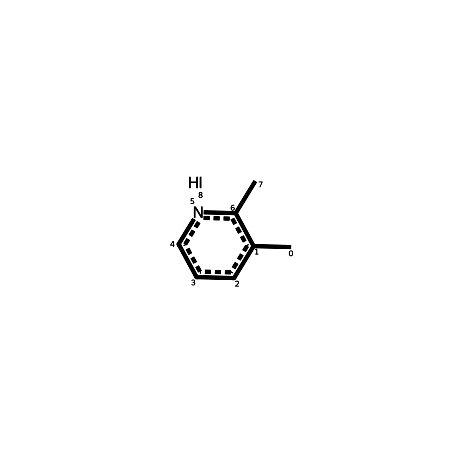 Cc1cccnc1C.I